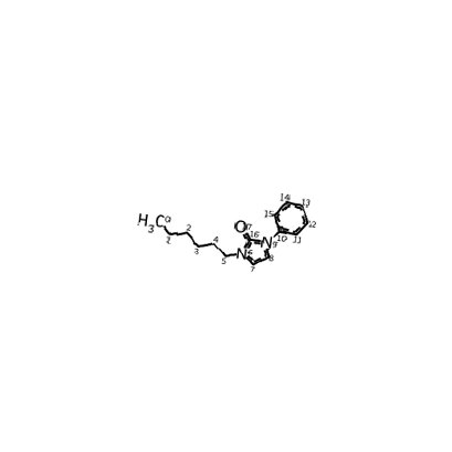 CCCCCCn1ccn(-c2cc[c]cc2)c1=O